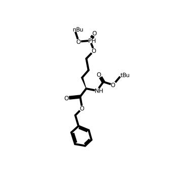 CCCCO[PH](=O)OCCC[C@@H](NC(=O)OC(C)(C)C)C(=O)OCc1ccccc1